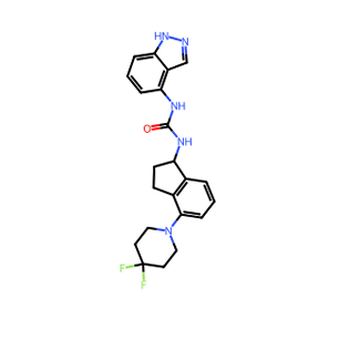 O=C(Nc1cccc2[nH]ncc12)NC1CCc2c1cccc2N1CCC(F)(F)CC1